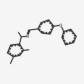 Cc1ccc(C(C)N=Cc2ccc(Oc3ccccc3)cc2)c(C)c1